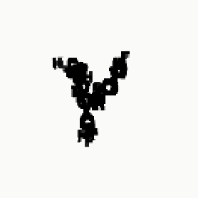 CS(=O)(=O)NCc1nnc(C(NC(=O)c2ccc(C(F)(F)F)cc2)c2nc3ccc(-c4ccc(F)nc4)cc3s2)o1